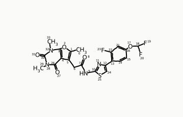 Cc1oc2c(c1CC(=O)Nc1nc(-c3ccc(OC(F)F)cc3F)cs1)c(=O)n(C)c(=O)n2C